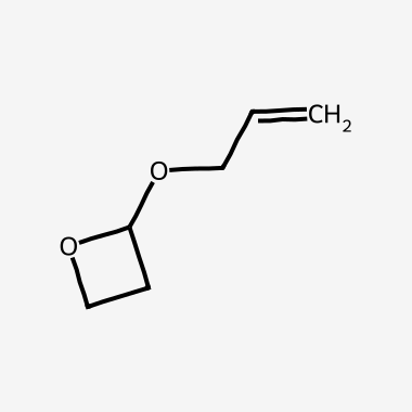 C=CCOC1CCO1